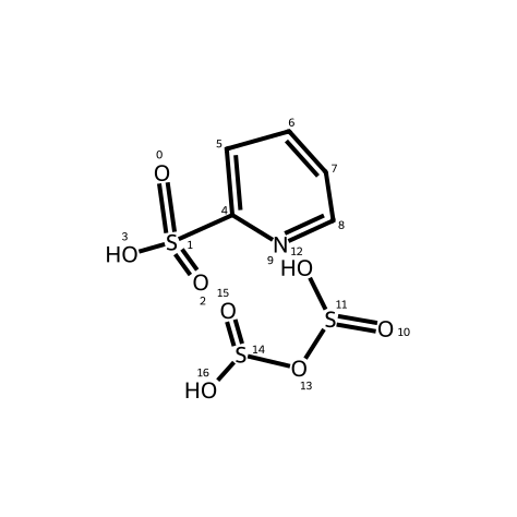 O=S(=O)(O)c1ccccn1.O=S(O)OS(=O)O